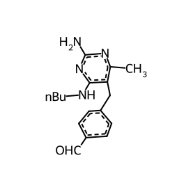 CCCCNc1nc(N)nc(C)c1Cc1ccc(C=O)cc1